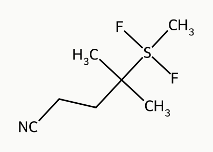 CC(C)(CCC#N)S(C)(F)F